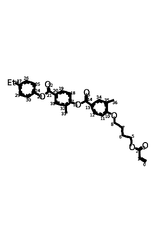 C=CC(=O)OCCCCOc1ccc(C(=O)Oc2ccc(C(=O)Oc3ccc(CC)cc3)cc2C)cc1C